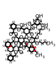 CCCCOC1C(C)OC(OC2C(NC(=O)c3cc(O)nc(O)n3)CC(C(=O)O)CC2OC2OC(COC(=O)c3ccccc3)C(OC(=O)c3ccccc3)C(O[C@@H](CC3CCCCC3)C(=O)OCc3ccccc3)C2OC(=O)c2ccccc2)C(OCCCC)C1OCCCC